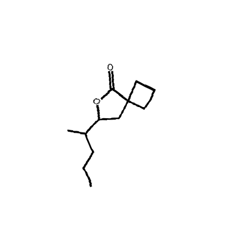 CCCC(C)C1CC2(CCC2)C(=O)O1